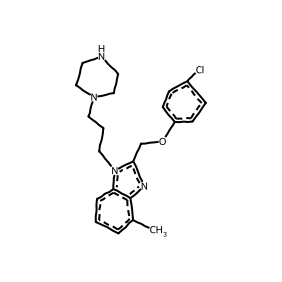 Cc1cccc2c1nc(COc1ccc(Cl)cc1)n2CCCN1CCNCC1